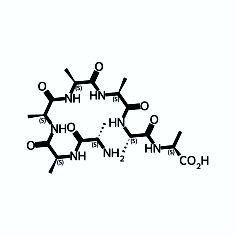 C[C@H](N)C(=O)N[C@@H](C)C(=O)N[C@@H](C)C(=O)N[C@@H](C)C(=O)N[C@@H](C)C(=O)N[C@@H](C)C(=O)N[C@@H](C)C(=O)O